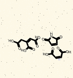 O=C(O)/C=C\C(=O)O.O=C(O)C=C(CC(=O)O)C(=O)O.O=C1C=CC(=O)N1